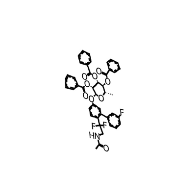 CC(=O)NCC(F)(F)c1ccc(O[C@@H]2O[C@@H](C)[C@H](OC(=O)c3ccccc3)[C@@H](OC(=O)c3ccccc3)[C@H]2OC(=O)c2ccccc2)cc1-c1cccc(F)c1